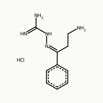 Cl.N=C(N)NN=C(CCN)c1ccccc1